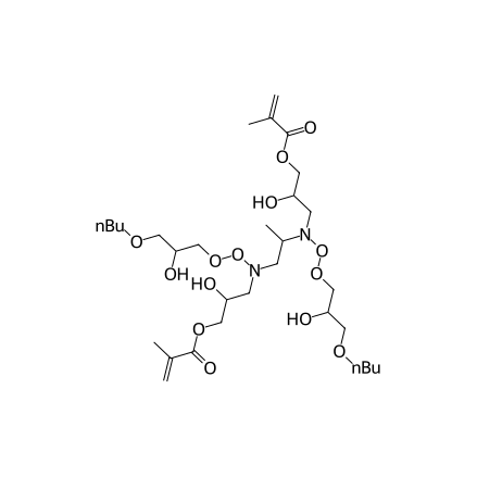 C=C(C)C(=O)OCC(O)CN(CC(C)N(CC(O)COC(=O)C(=C)C)OOCC(O)COCCCC)OOCC(O)COCCCC